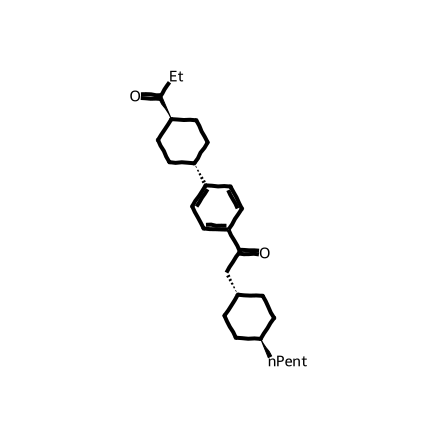 CCCCC[C@H]1CC[C@H](CC(=O)c2ccc([C@H]3CC[C@H](C(=O)CC)CC3)cc2)CC1